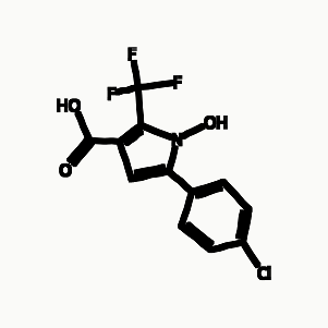 O=C(O)c1cc(-c2ccc(Cl)cc2)n(O)c1C(F)(F)F